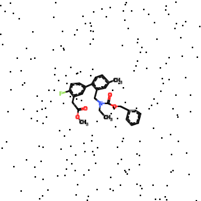 CCN(Cc1cc(C)ccc1-c1ccc(F)c(CC(=O)OC)c1)C(=O)OCc1ccccc1